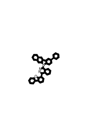 c1ccc(-c2ccc3c(c2)c2cc4ccccc4cc2n3-c2nnc(-c3cccc4c3oc3ccccc34)c3ccccc23)cc1